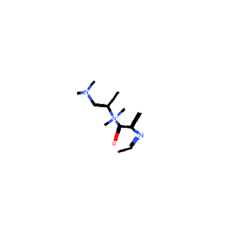 C=C(/N=C\C)C(=O)[N+](C)(C)C(C)CN(C)C